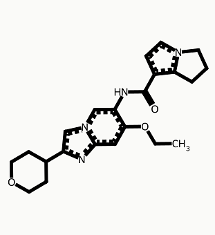 CCOc1cc2nc(C3CCOCC3)cn2cc1NC(=O)c1ccn2c1CCC2